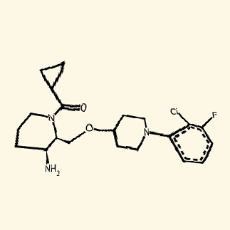 N[C@H]1CCCN(C(=O)C2CC2)[C@H]1COC1CCN(c2cccc(F)c2Cl)CC1